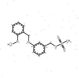 COc1ccccc1COc1cccc(COS(C)(=O)=O)c1